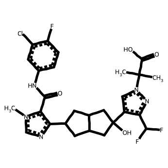 Cn1cnc(C2CC3CC(O)(c4cn(C(C)(C)C(=O)O)nc4C(F)F)CC3C2)c1C(=O)Nc1ccc(F)c(Cl)c1